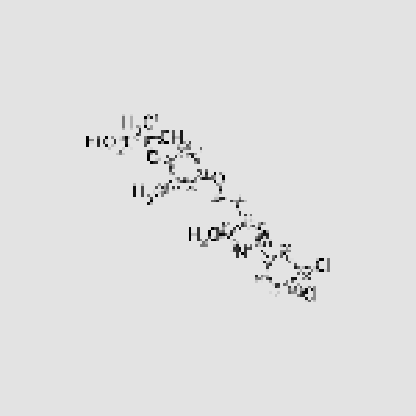 CCOC(=O)C(C)(C)Oc1ccc(OCCc2sc(-c3ccc(Cl)c(Cl)c3)nc2C)cc1C